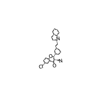 N#Cc1c(-c2cccc(C=Cc3ccc4ccccc4n3)c2)oc2ccc(Cl)cc2c1=O